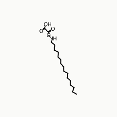 CCCCCCCCCCCCCCCCNOC(=O)C(=O)O